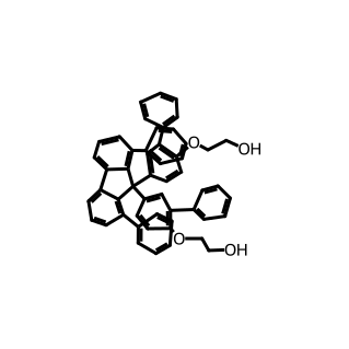 OCCOc1ccc(C2(c3ccc(OCCO)c(-c4ccccc4)c3)c3c(-c4ccccc4)cccc3-c3cccc(-c4ccccc4)c32)cc1-c1ccccc1